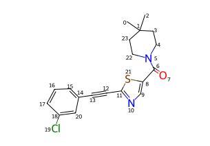 CC1(C)CCN(C(=O)c2cnc(C#Cc3cccc(Cl)c3)s2)CC1